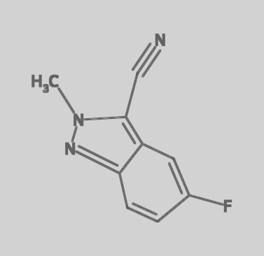 Cn1nc2ccc(F)cc2c1C#N